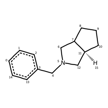 c1ccc(CN2CC3CCC[C@H]3C2)cc1